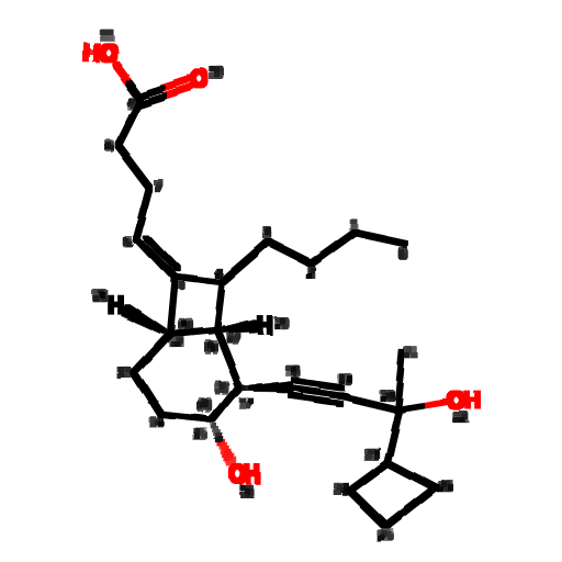 CCCCC1C(=CCCC(=O)O)[C@H]2CC[C@@H](O)[C@H](C#CC(C)(O)C3CCC3)[C@@H]12